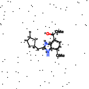 COC(=O)c1ccc(OC)c2[nH]c(CC3CCC(C)C3)nc12